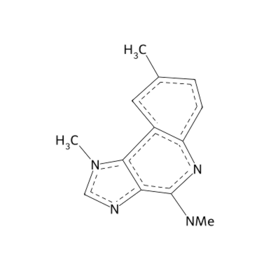 CNc1nc2ccc(C)cc2c2c1ncn2C